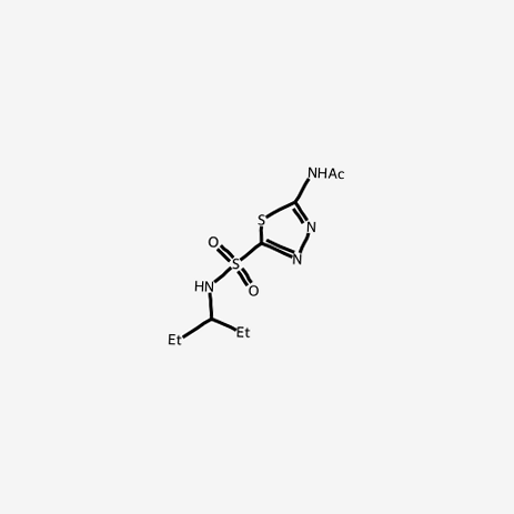 CCC(CC)NS(=O)(=O)c1nnc(NC(C)=O)s1